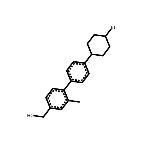 CCC1CCC(c2ccc(-c3ccc(CO)cc3C)cc2)CC1